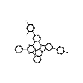 Cc1ccc(-c2ccc3c(c2)c2ccccc2n3-c2ccc(-c3ccc(F)cc3F)cc2-c2nc(-c3ccccc3)nc(-c3ccccc3)n2)cc1